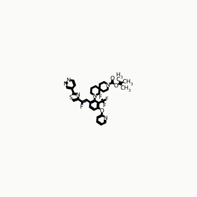 CC(C)(C)OC(=O)N1CCC2(CCCN(c3c(/C=C(\F)c4csc(-c5ccnnc5)n4)ccc(Oc4ccccn4)c3C(F)(F)F)C2)CC1